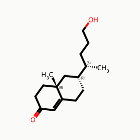 C[C@@H](CCCO)[C@@H]1CCC2=CC(=O)CC[C@]2(C)C1